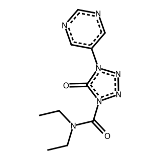 CCN(CC)C(=O)n1nnn(-c2cncnc2)c1=O